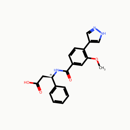 COc1cc(C(=O)N[C@H](CC(=O)O)c2ccccc2)ccc1-c1cn[nH]c1